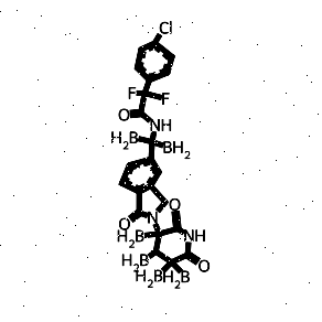 BC1C(B)(B)C(=O)NC(=O)C1(B)N1Cc2cc(C(B)(B)NC(=O)C(F)(F)c3ccc(Cl)cc3)ccc2C1=O